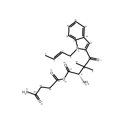 CC=CCn1c(C(=O)C(C)(C)[C@H](N)C(=O)OC(=O)CCC(N)=O)cc2ccccc21